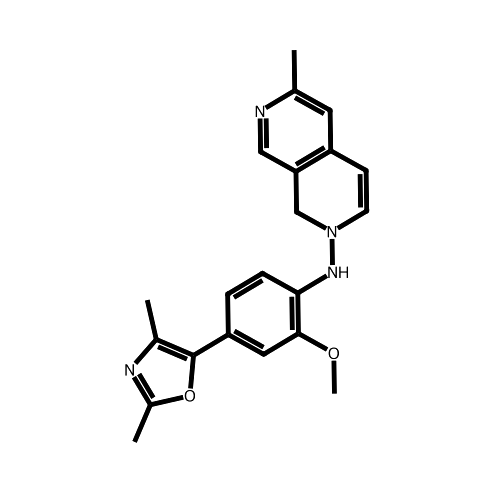 COc1cc(-c2oc(C)nc2C)ccc1NN1C=Cc2cc(C)ncc2C1